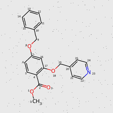 COC(=O)c1ccc(OCc2ccccc2)cc1OCc1ccncc1